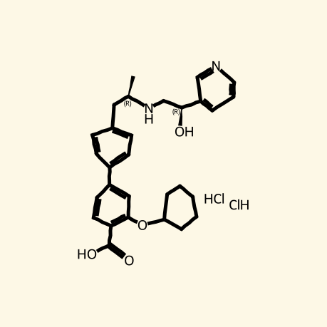 C[C@H](Cc1ccc(-c2ccc(C(=O)O)c(OC3CCCCC3)c2)cc1)NC[C@H](O)c1cccnc1.Cl.Cl